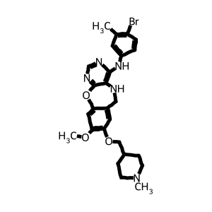 COc1cc2c(cc1OCC1CCN(C)CC1)CNc1c(Nc3ccc(Br)c(C)c3)ncnc1O2